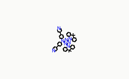 CC1(C)c2ccccc2N(c2nc(N(c3ccc(-c4ccncc4)cc3)c3ccc(-c4ccncc4)cc3)nc(N3c4ccccc4C(C)(C)c4ccccc43)n2)c2ccccc21